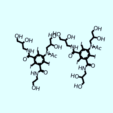 CC(=O)N(CC(O)CO)c1c(I)c(C(=O)NCC(O)CO)c(I)c(C(=O)NCC(O)CO)c1I.CC(=O)N(CC(O)CO)c1c(I)c(C(=O)NCCO)c(I)c(C(=O)NCC(O)CO)c1I